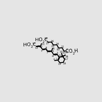 CC1=C(/C=C/C(C)=C/C=C/C(C)=C/C(=O)O)C(C)(C)CCC1.O=C(O)CCCCCCCC(=O)O